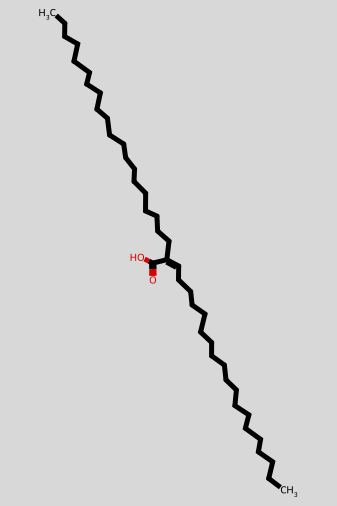 CCCCCCCCCCCCCCCCCCC=C(CCCCCCCCCCCCCCCCCCCC)C(=O)O